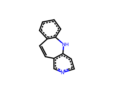 C1=Cc2cnccc2Nc2ccccc21